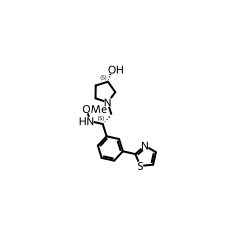 CON[C@H](CN1CC[C@H](O)C1)c1cccc(-c2nccs2)c1